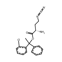 CC(OC(=O)[C@@H](N)CCN=[N+]=[N-])(c1ccccc1)c1ccccc1Cl